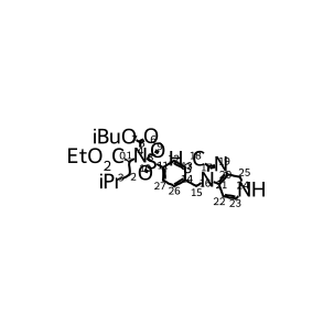 CCOC(=O)[C@H](CC(C)C)N(C(=O)OCC(C)C)S(=O)(=O)c1ccc(Cn2c(C)nc3c2C=CNC3)cc1